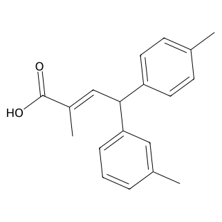 CC(=CC(c1ccc(C)cc1)c1cccc(C)c1)C(=O)O